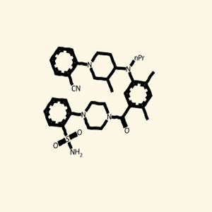 CCCN(c1cc(C(=O)N2CCN(c3ccccc3S(N)(=O)=O)CC2)c(C)cc1C)C1CCN(c2ccccc2C#N)CC1C